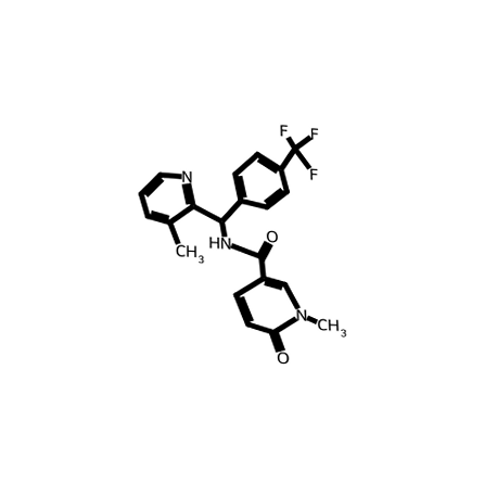 Cc1cccnc1C(NC(=O)c1ccc(=O)n(C)c1)c1ccc(C(F)(F)F)cc1